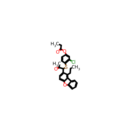 CCCc1c(C(Sc2ccc(OC(=O)CC)cc2Cl)C(C)=O)ccc2oc3ccccc3c12